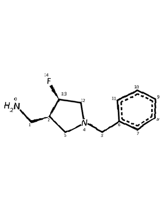 NC[C@@H]1CN(Cc2ccccc2)C[C@@H]1F